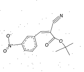 CC(C)(C)OC(=O)C(C#N)=Cc1cccc([N+](=O)[O-])c1